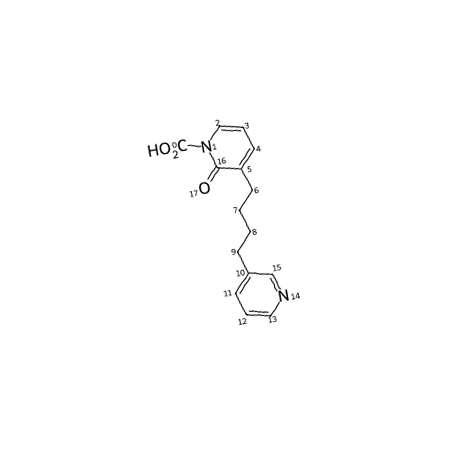 O=C(O)n1cccc(CCCCc2cccnc2)c1=O